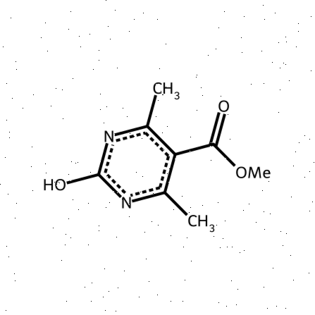 COC(=O)c1c(C)nc(O)nc1C